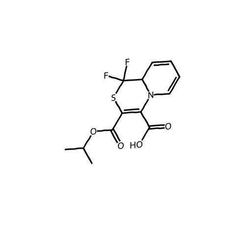 CC(C)OC(=O)C1=C(C(=O)O)N2C=CC=CC2C(F)(F)S1